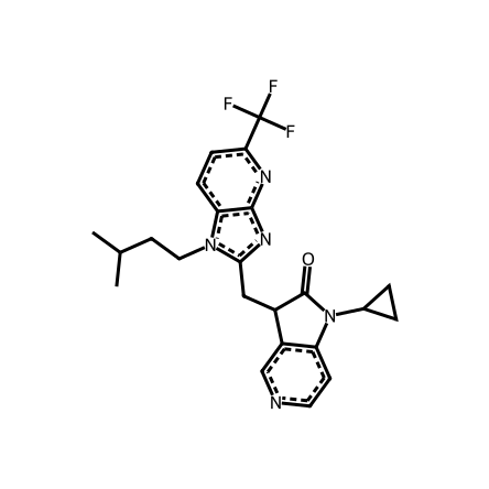 CC(C)CCn1c(CC2C(=O)N(C3CC3)c3ccncc32)nc2nc(C(F)(F)F)ccc21